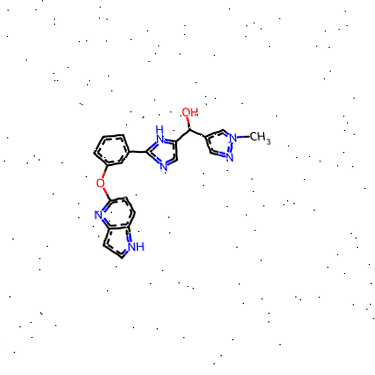 Cn1cc(C(O)c2cnc(-c3cccc(Oc4ccc5[nH]ccc5n4)c3)[nH]2)cn1